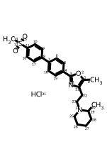 Cc1oc(-c2ccc(-c3ccc(S(C)(=O)=O)cc3)cc2)nc1CCN1CCCCC1C.Cl